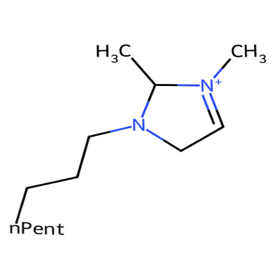 CCCCCCCCN1CC=[N+](C)C1C